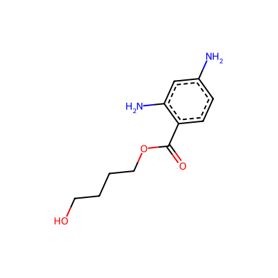 Nc1ccc(C(=O)OCCCCO)c(N)c1